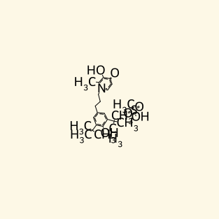 CS(=O)(=O)O.Cc1c(O)c(=O)ccn1CCCc1cc(C(C)(C)C)c(O)c(C(C)(C)C)c1